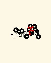 CC1(C)c2ccccc2-c2ccc(N(c3ccc4c(c3)C3(c5ccccc5-4)c4ccccc4-n4c5ccccc5c5cccc3c54)c3ccccc3-c3cccc(-c4ccccc4)c3)cc21